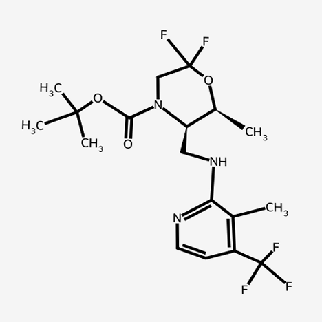 Cc1c(C(F)(F)F)ccnc1NC[C@@H]1[C@H](C)OC(F)(F)CN1C(=O)OC(C)(C)C